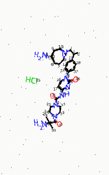 CC(CN1CCC[C@H](N)CC1)c1ccc(-n2ccc(NC(=O)N3CCN(C(=O)C(C)(C)N)CC3)nc2=O)cc1.Cl